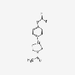 CC(=O)N1CCN(c2ccc(OC(F)F)cc2)CC1